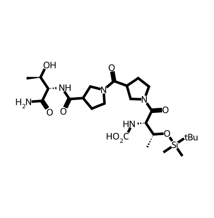 C[C@@H](O)[C@H](NC(=O)C1CCN(C(=O)C2CCN(C(=O)[C@@H](NC(=O)O)[C@@H](C)O[Si](C)(C)C(C)(C)C)C2)C1)C(N)=O